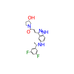 C[C@@H](Nc1ccc2[nH]nc(/C=C/C(=O)N3CC[C@H](O)C3)c2c1)c1cc(F)cc(F)c1